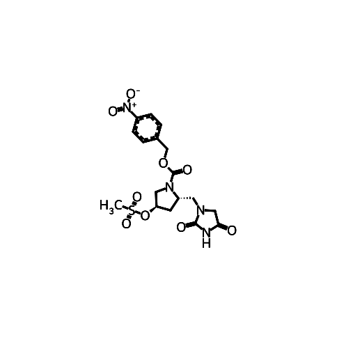 CS(=O)(=O)O[C@@H]1C[C@@H](CN2CC(=O)NC2=O)N(C(=O)OCc2ccc([N+](=O)[O-])cc2)C1